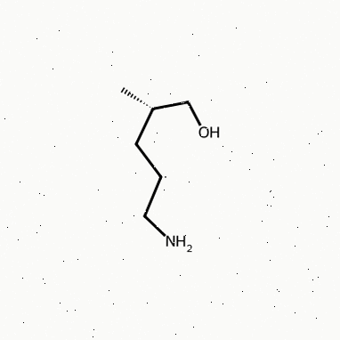 C[C@H](CO)C[CH]CN